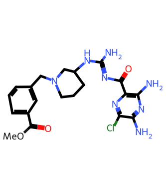 COC(=O)c1cccc(CN2CCCC(NC(N)=NC(=O)c3nc(Cl)c(N)nc3N)C2)c1